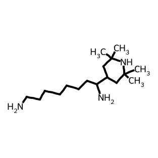 CC1(C)CC(C(N)CCCCCCCN)CC(C)(C)N1